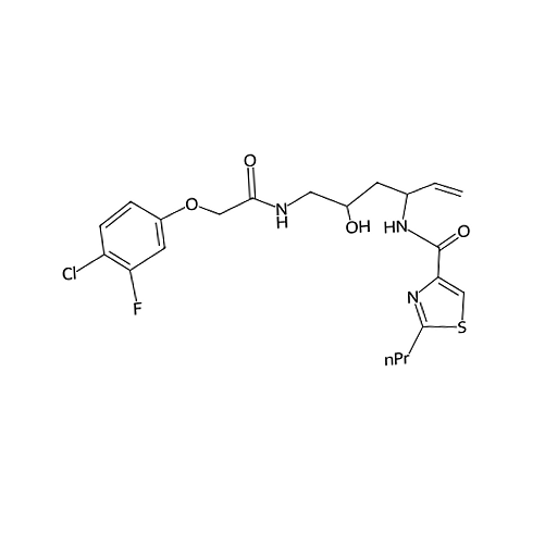 C=CC(CC(O)CNC(=O)COc1ccc(Cl)c(F)c1)NC(=O)c1csc(CCC)n1